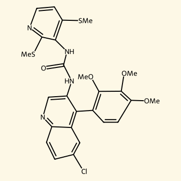 COc1ccc(-c2c(NC(=O)Nc3c(SC)ccnc3SC)cnc3ccc(Cl)cc23)c(OC)c1OC